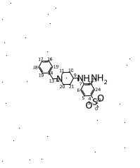 CS(=O)(=O)c1ccc(NC2CCN(Cc3ccccc3)CC2)c(N)c1